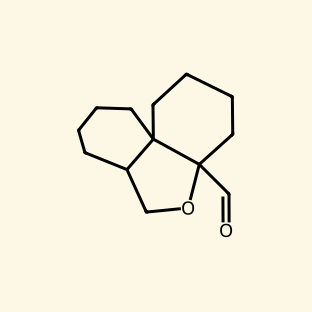 O=CC12CCCCC13CCCCC3CO2